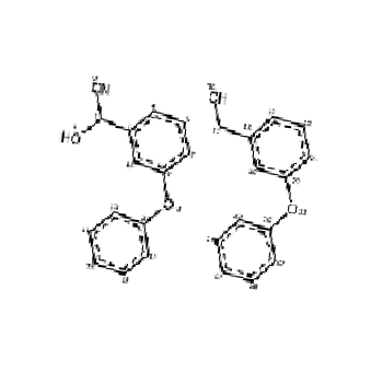 N#CC(O)c1cccc(Oc2ccccc2)c1.OCc1cccc(Oc2ccccc2)c1